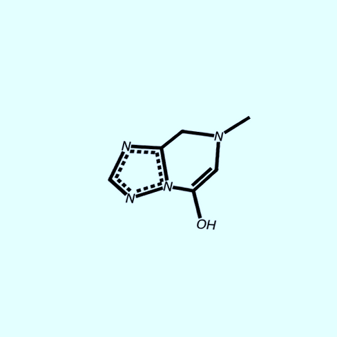 CN1C=C(O)n2ncnc2C1